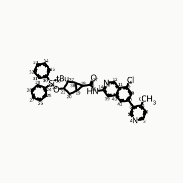 Cc1ccncc1-c1cc(Cl)c2cnc(NC(=O)C3C4CC(O[Si](c5ccccc5)(c5ccccc5)C(C)(C)C)CC43)cc2c1